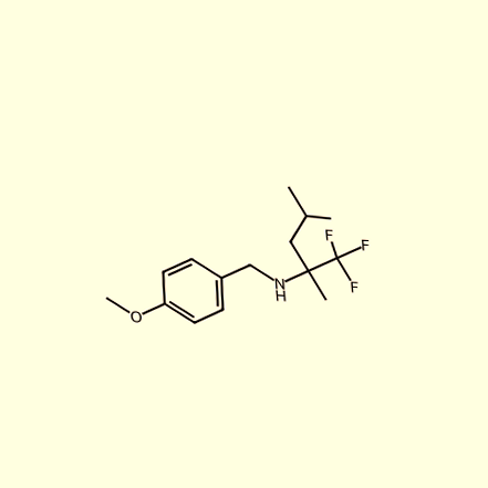 COc1ccc(CNC(C)(CC(C)C)C(F)(F)F)cc1